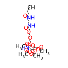 C#CCCC(=O)NCCCNC(=O)COCCOCCOC1OC(COC(C)=O)C(OC(C)=O)C(OC(C)=O)C1NC(C)=O